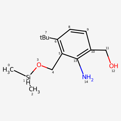 C[SiH](C)OCc1c(C(C)(C)C)ccc(CO)c1N